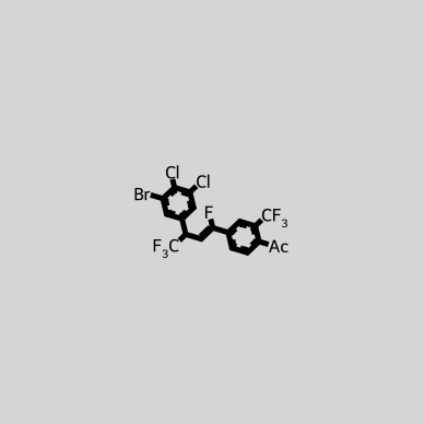 CC(=O)c1ccc(/C(F)=C/C(c2cc(Cl)c(Cl)c(Br)c2)C(F)(F)F)cc1C(F)(F)F